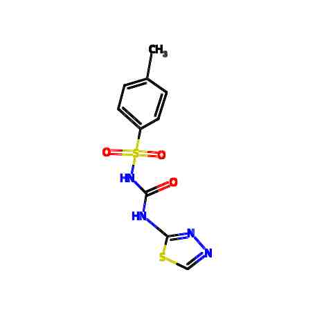 Cc1ccc(S(=O)(=O)NC(=O)Nc2nncs2)cc1